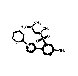 CN(C)CN(C)S(=O)(=O)c1cc(N)ccc1-c1cnn(C2CCCCO2)c1